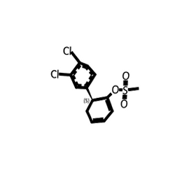 CS(=O)(=O)OC1=CC=CC[C@H]1c1ccc(Cl)c(Cl)c1